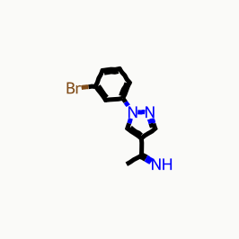 CC(=N)c1cnn(-c2cccc(Br)c2)c1